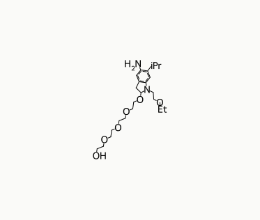 CCOCCN1c2cc(C(C)C)c(N)cc2CC1OCCOCCOCCOCCO